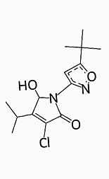 CC(C)C1=C(Cl)C(=O)N(c2cc(C(C)(C)C)on2)C1O